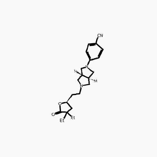 CCC1(CC)C[C@H](CCN2C[C@@H]3CN(c4ccc(C#N)cc4)C[C@H]3C2)OC1=O